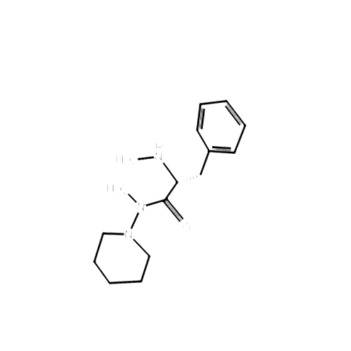 CN[C@H](Cc1ccccc1)C(=O)N(C)N1CCCCC1